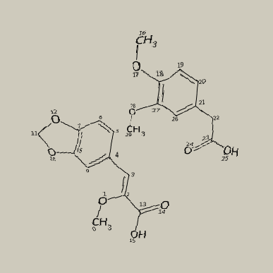 COC(=Cc1ccc2c(c1)OCO2)C(=O)O.COc1ccc(CC(=O)O)cc1OC